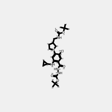 CC(C)(C)OC(=O)NCC1CCN(c2cc(NC3CC3)c(C(=O)NNC(=O)OC(C)(C)C)cc2Cl)C1